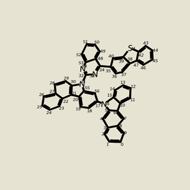 c1ccc2cc3c(cc2c1)c1ccccc1n3-c1ccc2c3c4ccccc4ccc3n(-c3nc(-c4ccc5c(c4)sc4ccccc45)c4ccccc4n3)c2c1